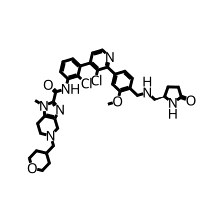 COc1cc(-c2nccc(-c3cccc(NC(=O)c4nc5c(n4C)CCN(CC4CCOCC4)C5)c3Cl)c2Cl)ccc1CNC[C@H]1CCC(=O)N1